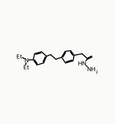 C=C(Cc1ccc(CCc2ccc(N(CC)CC)cc2)cc1)NN